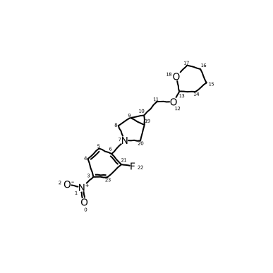 O=[N+]([O-])c1ccc(N2CC3C(COC4CCCCO4)C3C2)c(F)c1